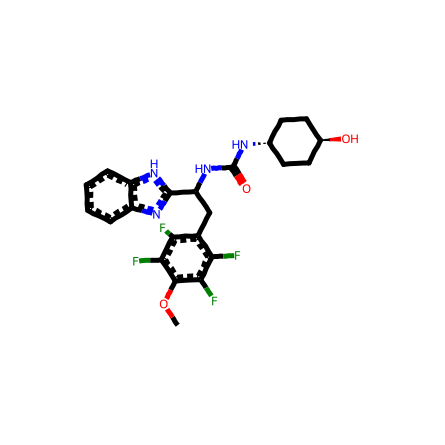 COc1c(F)c(F)c(CC(NC(=O)N[C@H]2CC[C@H](O)CC2)c2nc3ccccc3[nH]2)c(F)c1F